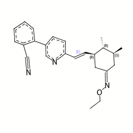 CCON=C1C[C@@H](/C=C/c2ccc(-c3ccccc3C#N)cn2)[C@H](C)[C@@H](C)C1